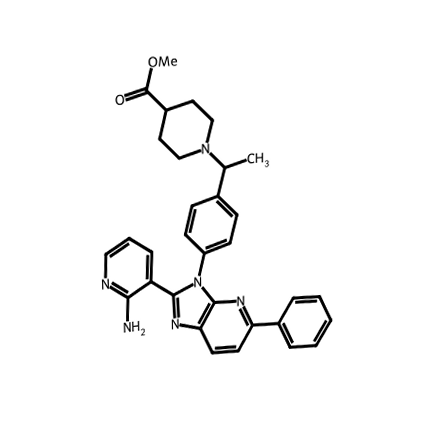 COC(=O)C1CCN(C(C)c2ccc(-n3c(-c4cccnc4N)nc4ccc(-c5ccccc5)nc43)cc2)CC1